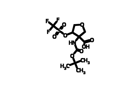 CC(C)(C)OC(=O)NC1(C(=O)O)COCC1OS(=O)(=O)C(F)(F)F